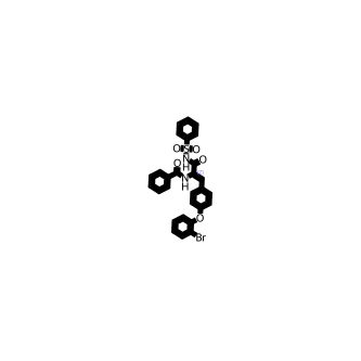 O=C(NS(=O)(=O)c1ccccc1)/C(=C/c1ccc(Oc2ccccc2Br)cc1)NC(=O)c1ccccc1